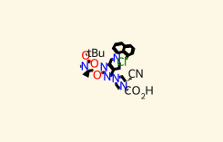 CN(C(=O)OC(C)(C)C)C1(COc2nc3c(c(N4CCN(C(=O)O)[C@@H](CC#N)C4)n2)CCN(c2cccc4cccc(Cl)c24)C3)CC1